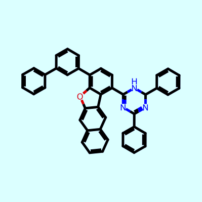 c1ccc(C2=NC(c3ccccc3)NC(c3ccc(-c4cccc(-c5ccccc5)c4)c4oc5cc6ccccc6cc5c34)=N2)cc1